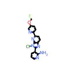 Nc1ncccc1-c1nc2ccc(-c3ccc(OCF)cn3)nc2n1Cl